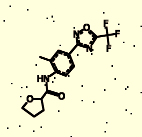 Cc1cc(-c2noc(C(F)(F)F)n2)ccc1NC(=O)C1CCCO1